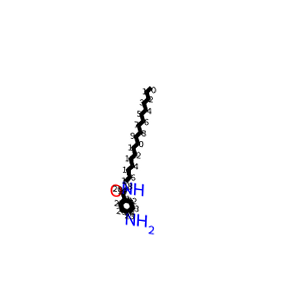 CCCCCCCCCCCCCCCCCCNC(=O)c1ccc(N)cc1